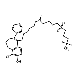 CN(CCCCCCC1=C(c2ccccc2)CCCc2c1ccc(O)c2Cl)CCCCS(=O)(=O)CCCC(F)(F)C(F)(F)F